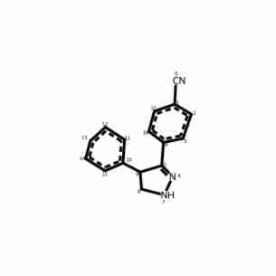 N#Cc1ccc(C2=NNCC2c2ccccc2)cc1